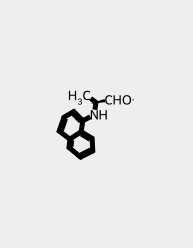 C[C@@H]([C]=O)Nc1cccc2ccccc12